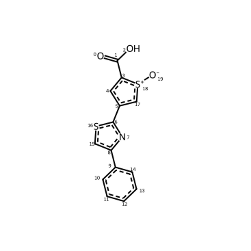 O=C(O)c1cc(-c2nc(-c3ccccc3)cs2)c[s+]1[O-]